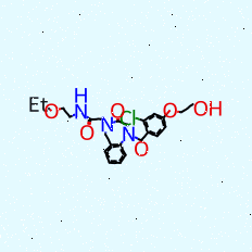 CCOCCNC(=O)CN1Cc2ccccc2N(C(=O)c2ccc(OCCO)cc2Cl)CC1=O